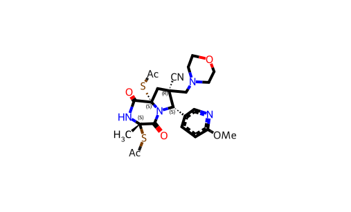 COc1ccc([C@@H]2N3C(=O)[C@](C)(SC(C)=O)NC(=O)[C@@]3(SC(C)=O)C[C@@]2(C#N)CN2CCOCC2)cn1